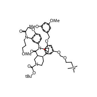 COCCCN1C(=O)COc2ccc(N(C(=O)C3CN(C(=O)OC(C)(C)C)CC[C@@H]3c3cc(OCOCC[Si](C)(C)C)cc(OCc4cc(OC)cc(OC)c4)c3)C3CC3)cc21